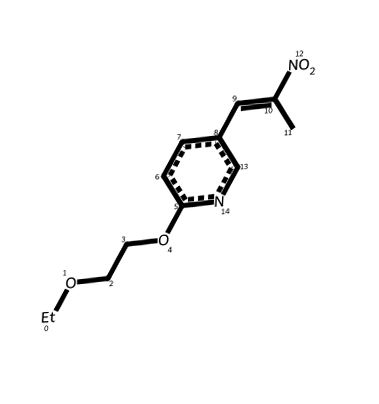 CCOCCOc1ccc(C=C(C)[N+](=O)[O-])cn1